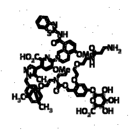 COCCN(CCOC12CC3(C)CC(C)(CC(Cn4ncc(-c5ccc(N6CCc7c(OC)ccc(C(=O)Nc8nc9ccccc9s8)c7C6)nc5C(=O)O)c4C)(C3)C1)C2)C(=O)OCc1ccc(O[C@@H]2O[C@H](C(=O)O)[C@@H](O)[C@H](O)[C@H]2O)cc1OCCOCCNC(=O)CCN